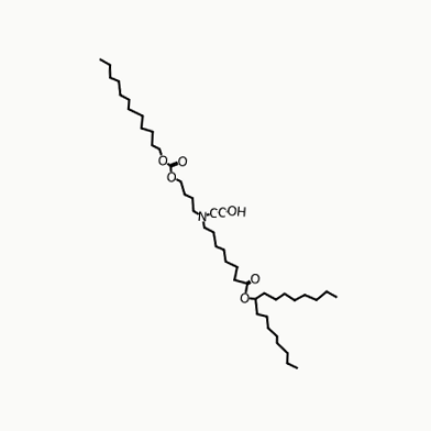 CCCCCCCCCCCCOC(=O)OCCCCN(CCO)CCCCCCCC(=O)OC(CCCCCCCC)CCCCCCCC